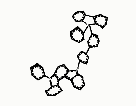 c1ccc(-n2c3ccccc3c3c4c5ccccc5n(-c5ccc(-c6cccc([Si]7(c8ccccc8)c8ccccc8-c8ccccc87)c6)cc5)c4ccc32)cc1